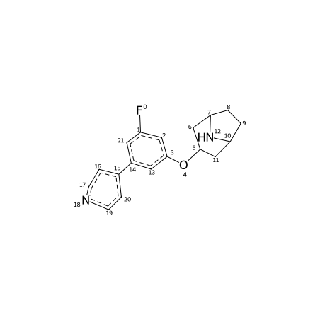 Fc1cc(OC2CC3CCC(C2)N3)cc(-c2ccncc2)c1